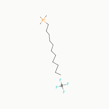 CCCCCCCCCCC[P+](C)(C)C.F[B-](F)(F)F